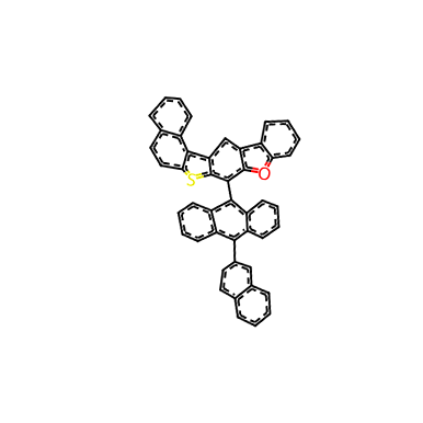 c1ccc2cc(-c3c4ccccc4c(-c4c5oc6ccccc6c5cc5c4sc4ccc6ccccc6c45)c4ccccc34)ccc2c1